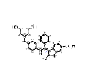 O=C1Nc2cc(C(=O)O)ccc2/C1=C(/Nc1ccc(CN(CCO)CCO)cc1)c1ccccc1